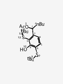 CCCCC(OC(C)=O)c1ccc(SC(C)(C)C)c(O)c1SC(C)(C)C